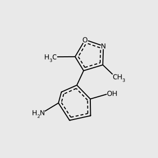 Cc1noc(C)c1-c1cc(N)ccc1O